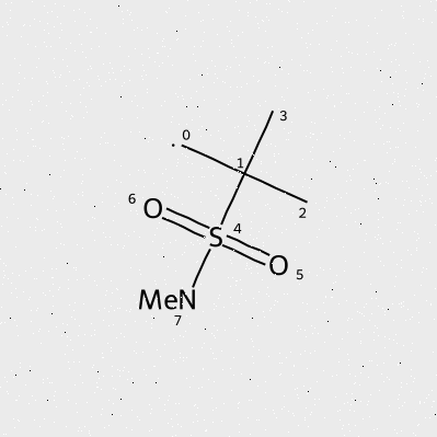 [CH2]C(C)(C)S(=O)(=O)NC